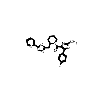 Cc1nc(C(=O)N2CCCCC2Cc2nnc(-c3ccccn3)o2)c(-c2ccc(F)cc2)s1